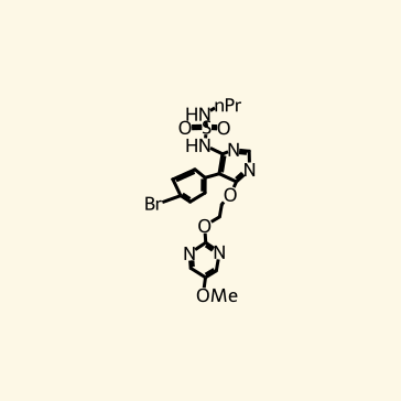 CCCNS(=O)(=O)Nc1ncnc(OCCOc2ncc(OC)cn2)c1-c1ccc(Br)cc1